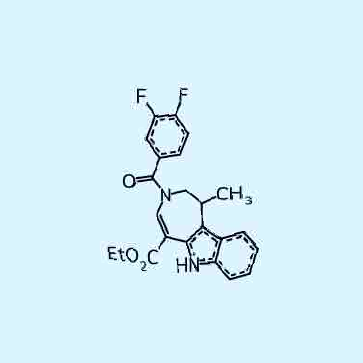 CCOC(=O)C1=CN(C(=O)c2ccc(F)c(F)c2)CC(C)c2c1[nH]c1ccccc21